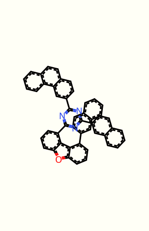 c1ccc2cc(-c3nc(-c4ccc5ccc6ccccc6c5c4)nc(-c4cccc5oc6cccc(-c7ccc8ccccc8c7)c6c45)n3)ccc2c1